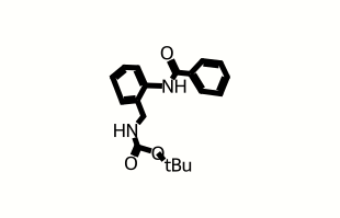 CC(C)(C)OC(=O)NCc1ccccc1NC(=O)c1ccccc1